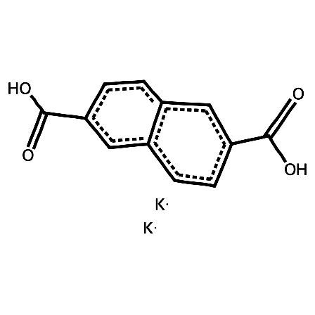 O=C(O)c1ccc2cc(C(=O)O)ccc2c1.[K].[K]